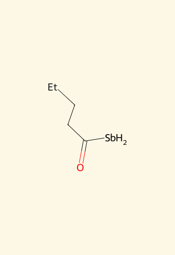 CCCC[C](=O)[SbH2]